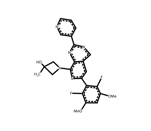 COc1cc(OC)c(F)c(-c2cc3cnc(-c4cccnc4)nc3c(N3CC(C)(O)C3)n2)c1F